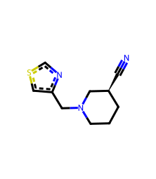 N#C[C@H]1CCCN(Cc2cscn2)C1